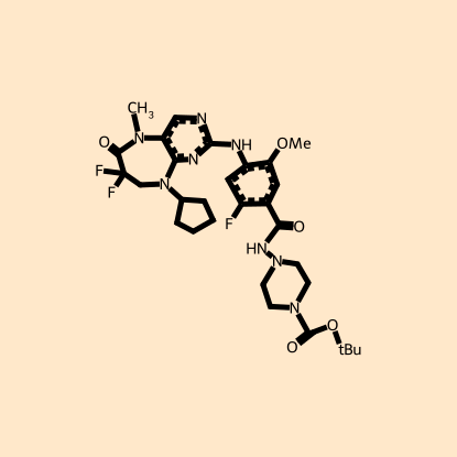 COc1cc(C(=O)NN2CCN(C(=O)OC(C)(C)C)CC2)c(F)cc1Nc1ncc2c(n1)N(C1CCCC1)CC(F)(F)C(=O)N2C